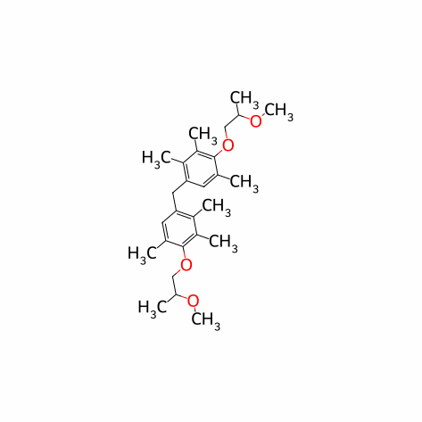 COC(C)COc1c(C)cc(Cc2cc(C)c(OCC(C)OC)c(C)c2C)c(C)c1C